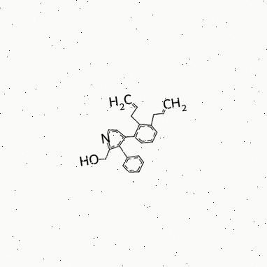 C=CCc1cccc(-c2ccnc(CO)c2-c2ccccc2)c1CC=C